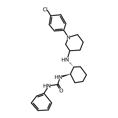 O=C(Nc1ccccc1)N[C@@H]1CCCC[C@H]1NC1CCCN(c2ccc(Cl)cc2)C1